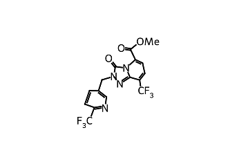 COC(=O)c1ccc(C(F)(F)F)c2nn(Cc3ccc(C(F)(F)F)nc3)c(=O)n12